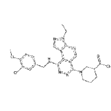 CCn1ncc2c3c(NCc4ccc(OC)c(Cl)c4)nnc(N4CCCC(C(=O)O)C4)c3cnc21